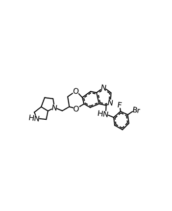 Fc1c(Br)cccc1Nc1ncnc2cc3c(cc12)OC(CN1CCC2CNCC21)CO3